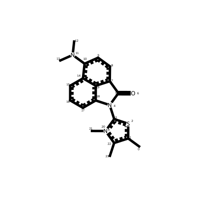 Cc1sc(N2C(=O)c3ccc(N(C)C)c4cccc2c34)[n+](C)c1C